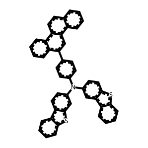 c1ccc2c(c1)ccc1c3ccccc3c(-c3ccc(N(c4ccc5c(c4)sc4ccccc45)c4ccc5sc6ccccc6c5c4)cc3)cc21